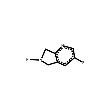 CC(C)N1Cc2cc(F)cnc2C1